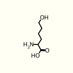 NC(CCCCO)C(=O)O